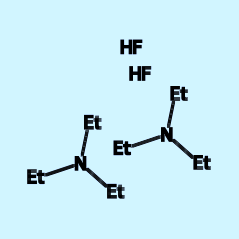 CCN(CC)CC.CCN(CC)CC.F.F